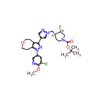 COc1ncc(-n2nc(-c3cnn(C[C@@H]4CCN(C(=O)OC(C)(C)C)C[C@@H]4F)c3)c3c2CCOCC3)cc1F